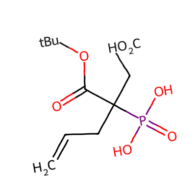 C=CCC(CC(=O)O)(C(=O)OC(C)(C)C)P(=O)(O)O